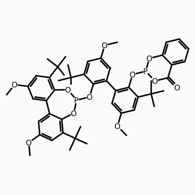 COc1cc(-c2cc(OC)cc(C(C)(C)C)c2Op2oc3c(C(C)(C)C)cc(OC)cc3c3cc(OC)cc(C(C)(C)C)c3o2)c(OP2OC(=O)c3ccccc3O2)c(C(C)(C)C)c1